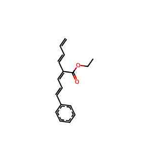 C=CC=CC(=CC=Cc1ccccc1)C(=O)OCC